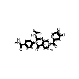 CNC(=O)c1ccc(-n2c(NC(C)C)nc3c(c2=O)C[C@@H](C)N(C(=O)c2cc(Cl)c(Cl)cn2)C3)cc1